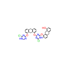 Oc1cccc2c1Cc1c(cccc1OC1=NC(Oc3cccc4c3Cc3c(cccc3OC3=N[C@@H](Cl)NC=N3)C4)=N[C@@H](Cl)N1)C2